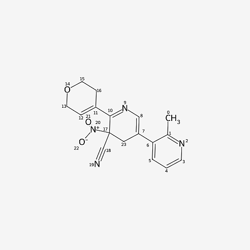 Cc1ncccc1C1=CN=C(C2=CCOCC2)C(C#N)([N+](=O)[O-])C1